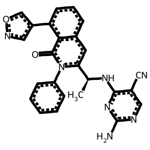 C[C@H](Nc1nc(N)ncc1C#N)c1cc2cccc(-c3cnoc3)c2c(=O)n1-c1ccccc1